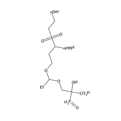 CCCCCCCCCCCCS(=O)(=O)C(CCCCCCC)CCOC(CC)OCC(O)([PH2]=O)C(=O)O